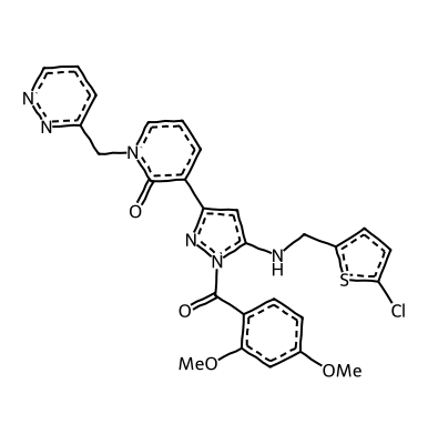 COc1ccc(C(=O)n2nc(-c3cccn(Cc4cccnn4)c3=O)cc2NCc2ccc(Cl)s2)c(OC)c1